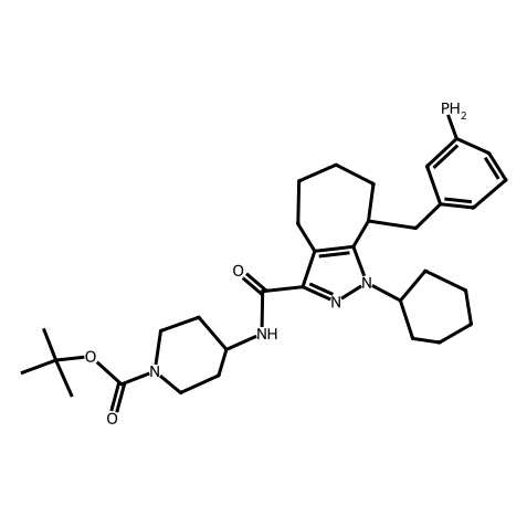 CC(C)(C)OC(=O)N1CCC(NC(=O)c2nn(C3CCCCC3)c3c2CCCCC3Cc2cccc(P)c2)CC1